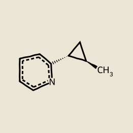 C[C@@H]1C[C@H]1c1ccccn1